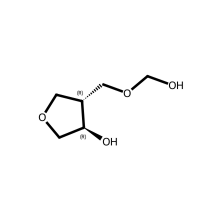 OCOC[C@H]1COC[C@@H]1O